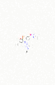 C=CCN1CC(C)N(C(c2ccc(C(=O)N(CC)CC)cc2)c2ccc(F)c(O)c2F)CC1C